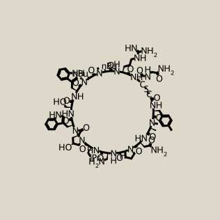 CCCC[C@H]1C(=O)N(C)[C@@H](CCCC)C(=O)N[C@@H](CCCNC(=N)N)C(=O)N[C@H](C(=O)NCC(N)=O)CSCC(=O)N[C@@H](Cc2ccc(C)cc2)C(=O)N(C)[C@@H](C)C(=O)N[C@@H](CC(N)=O)C(=O)N2CCC[C@H]2C(=O)N[C@@H](CN)C(=O)N[C@@H](CC(C)C)C(=O)N2C[C@H](O)C[C@@]23C(=O)N3[C@@H](Cc2c[nH]c3ccccc23)C(=O)N[C@@H](CO)C(=O)N[C@@H](Cc2c[nH]c3ccccc23)C(=O)N1C